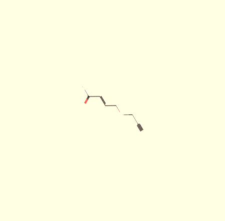 C#CCOCC=CC(N)=O